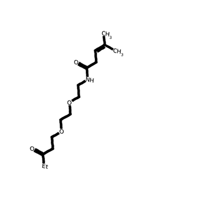 CCC(=O)CCOCCOCCNC(=O)CC=C(C)C